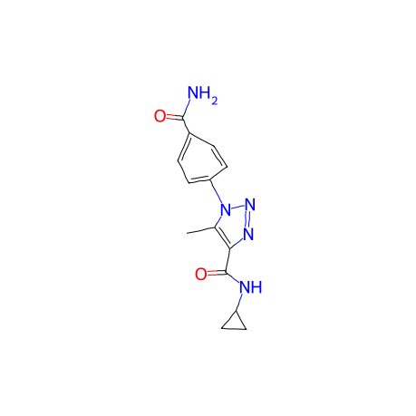 Cc1c(C(=O)NC2CC2)nnn1-c1ccc(C(N)=O)cc1